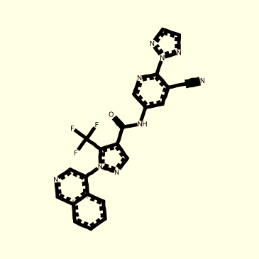 N#Cc1cc(NC(=O)c2cnn(-c3cncc4ccccc34)c2C(F)(F)F)cnc1-n1nccn1